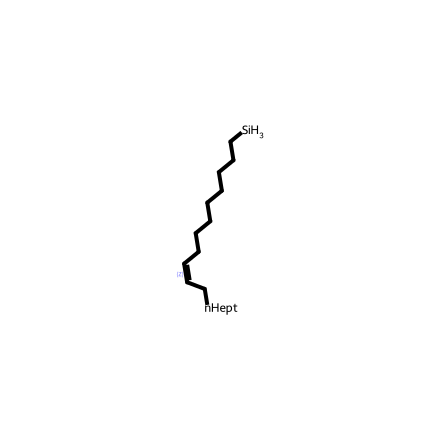 CCCCCCCC/C=C\CCCCCCCC[SiH3]